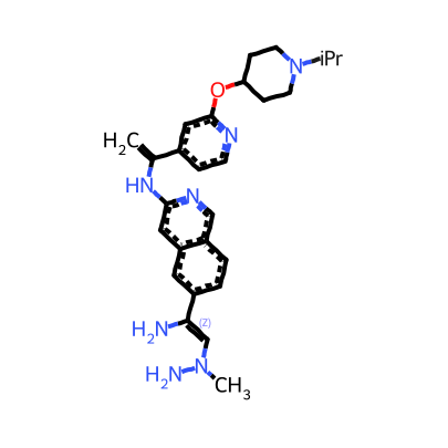 C=C(Nc1cc2cc(/C(N)=C/N(C)N)ccc2cn1)c1ccnc(OC2CCN(C(C)C)CC2)c1